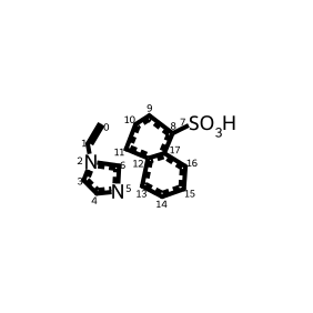 C=Cn1ccnc1.O=S(=O)(O)c1cccc2ccccc12